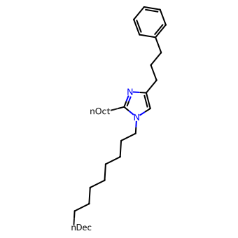 CCCCCCCCCCCCCCCCCCn1cc(CCCc2ccccc2)nc1CCCCCCCC